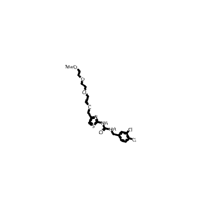 COCCOCCOCCOCc1csc(NC(=O)NCc2ccc(Cl)c(Cl)c2)n1